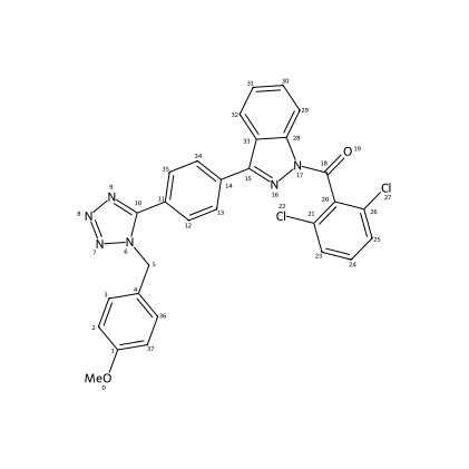 COc1ccc(Cn2nnnc2-c2ccc(-c3nn(C(=O)c4c(Cl)cccc4Cl)c4ccccc34)cc2)cc1